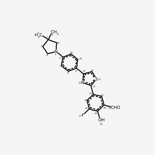 CC1(C)CCN(c2ccc(-c3csc(-c4cc(F)c(O)c(C=O)c4)n3)cc2)C1